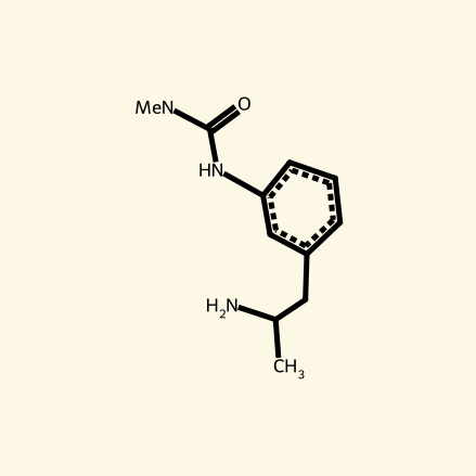 CNC(=O)Nc1cccc(CC(C)N)c1